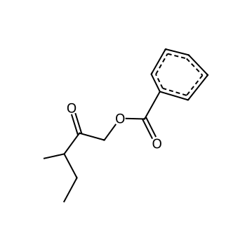 CCC(C)C(=O)COC(=O)c1ccccc1